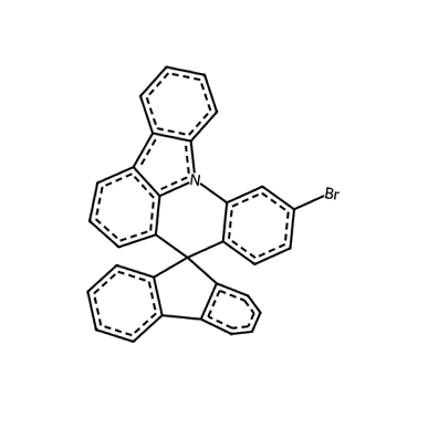 Brc1ccc2c(c1)-n1c3ccccc3c3cccc(c31)C21c2ccccc2-c2ccccc21